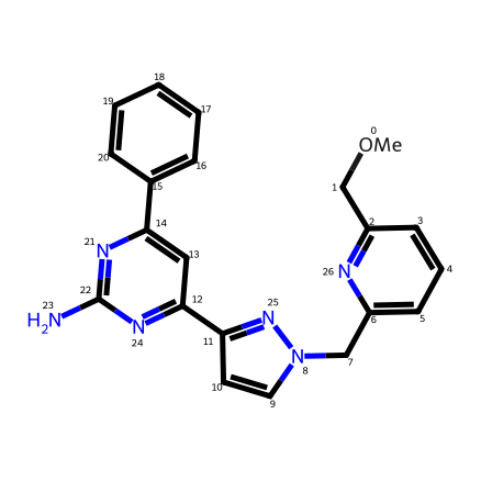 COCc1cccc(Cn2ccc(-c3cc(-c4ccccc4)nc(N)n3)n2)n1